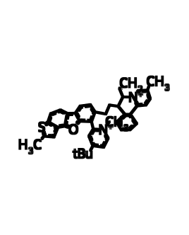 C=CC1C(CCc2ccc3c(oc4c5cc(C)sc5ccc34)c2-c2cc(C(C)(C)C)cc[n+]2C)c2ccccc2-c2ccc(C)c[n+]21